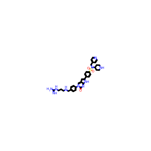 N=C(N)NCCCNCc1ccc(-n2cc3cc(-c4ccc(S(=O)(=O)N(Cc5ccncc5)C5CCNCC5)cc4)[nH]c3nc2=O)cc1